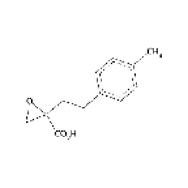 Cc1ccc(CCC2(C(=O)O)CO2)cc1